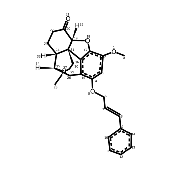 COc1cc(OC/C=C/c2ccccc2)c2c3c1O[C@H]1C(=O)CC[C@H]4[C@@H](C2)N(C)CC[C@]314